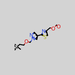 C[Si](C)(C)CCOCn1cc(-c2nc(COC=O)cs2)cn1